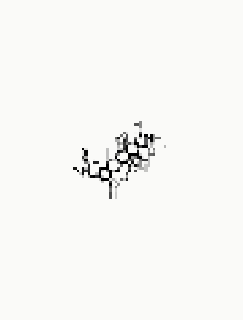 C=C1C(C(N)=O)=C(O)[C@@H](N(C)C)[C@@H]2C[C@@H]3Cc4c(F)c(CN(CC)CCCC)cc(O)c4C(=O)C3=C(O)[C@]12O